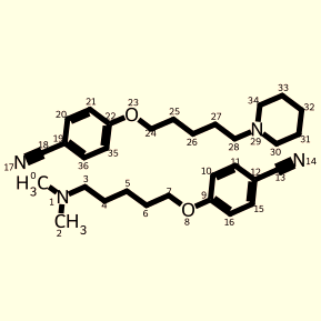 CN(C)CCCCCOc1ccc(C#N)cc1.N#Cc1ccc(OCCCCCN2CCCCC2)cc1